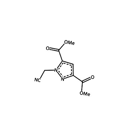 COC(=O)c1cc(C(=O)OC)n(CC#N)n1